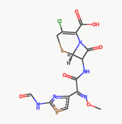 CON=C(C(=O)NC1C(=O)N2C(C(=O)O)=C(Cl)CS[C@@H]12)c1csc(NC=O)n1